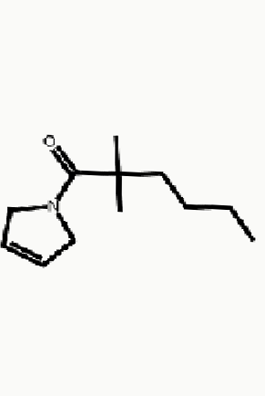 CCCCC(C)(C)C(=O)N1CC=CC1